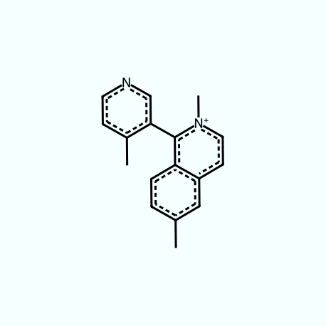 Cc1ccc2c(-c3cnccc3C)[n+](C)ccc2c1